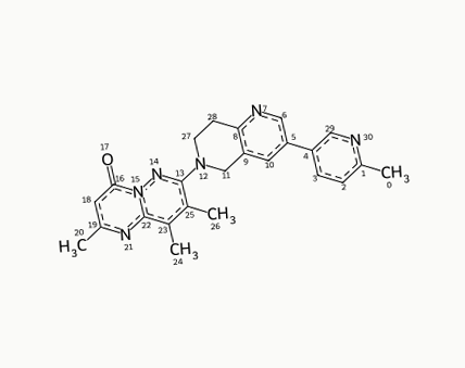 Cc1ccc(-c2cnc3c(c2)CN(c2nn4c(=O)cc(C)nc4c(C)c2C)CC3)cn1